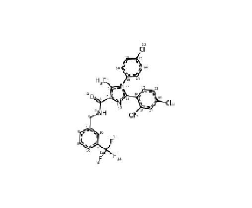 Cc1c(C(=O)NCc2cccc(C(F)(F)F)c2)nc(-c2ccc(Cl)cc2Cl)n1-c1ccc(Cl)cc1